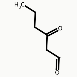 CCCC(=O)C[C]=O